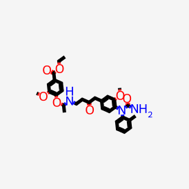 CCOC(=O)c1ccc(OC(C)NCCC(=O)Cc2ccc(N(C(N)=O)c3ccccc3C)c(OC)c2)c(OC)c1